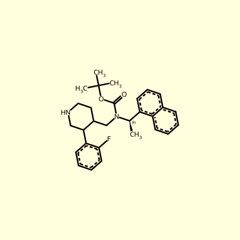 C[C@H](c1cccc2ccccc12)N(CC1CCNCC1c1ccccc1F)C(=O)OC(C)(C)C